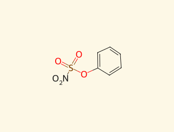 O=[N+]([O-])S(=O)(=O)Oc1ccccc1